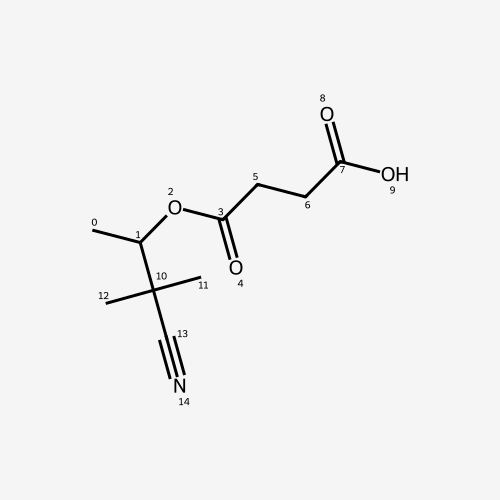 CC(OC(=O)CCC(=O)O)C(C)(C)C#N